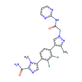 Cc1nn(CC(=O)Nc2ncccn2)cc1-c1ccc(-c2cnc(C(N)=O)n2C)c(F)c1F